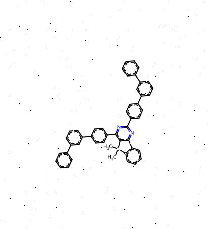 C[Si]1(C)c2ccccc2-c2nc(-c3ccc(-c4cccc(-c5ccccc5)c4)cc3)nc(-c3ccc(-c4cccc(-c5ccccc5)c4)cc3)c21